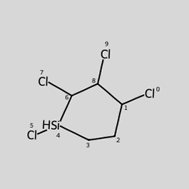 ClC1CC[SiH](Cl)C(Cl)C1Cl